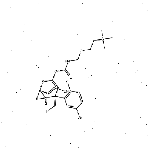 C[Si](C)(C)CCOCNC(=O)OC1=N[C@](CF)(c2cc(Br)ccc2F)[C@@H]2C[C@]2(/C=C/C#N)S1